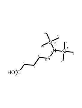 C[Si](C)(C)N(SCCCC(=O)O)[Si](C)(C)C